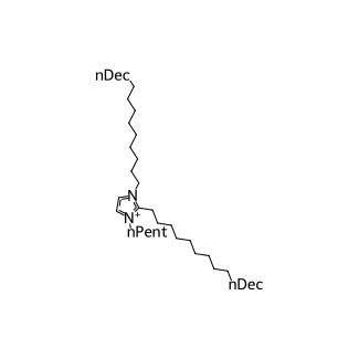 CCCCCCCCCCCCCCCCCCCc1n(CCCCCCCCCCCCCCCCCCC)cc[n+]1CCCCC